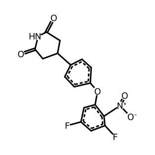 O=C1CC(c2ccc(Oc3cc(F)cc(F)c3[N+](=O)[O-])cc2)CC(=O)N1